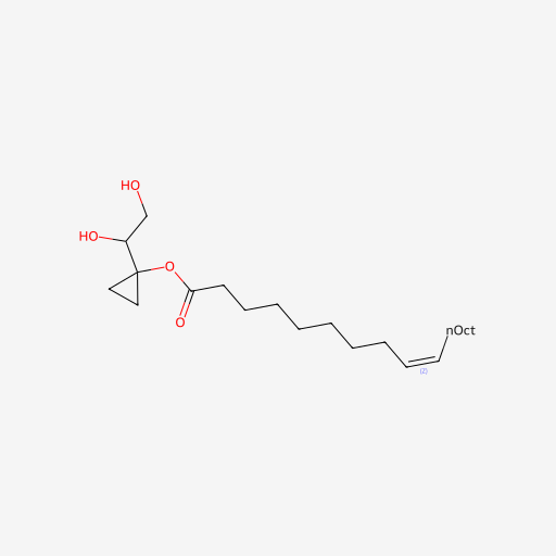 CCCCCCCC/C=C\CCCCCCCC(=O)OC1(C(O)CO)CC1